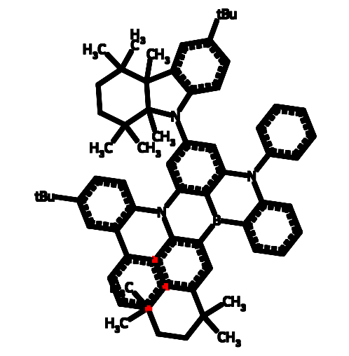 CC(C)(C)c1ccc(N2c3cc4c(cc3B3c5ccccc5N(c5ccccc5)c5cc(N6c7ccc(C(C)(C)C)cc7C7(C)C(C)(C)CCC(C)(C)C67C)cc2c53)C(C)(C)CCC4(C)C)c(-c2ccccc2)c1